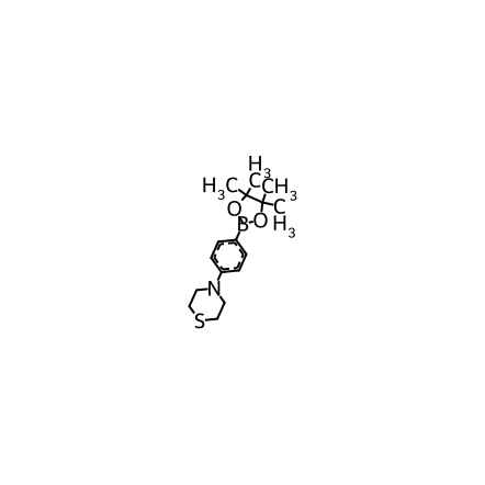 CC1(C)OB(c2ccc(N3CCSCC3)cc2)OC1(C)C